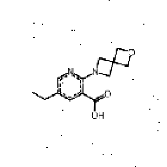 CCc1cnc(N2CC3(COC3)C2)c(C(=O)O)c1